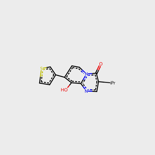 CC(C)c1cnc2c(O)c(-c3ccsc3)ccn2c1=O